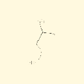 CCCC(Cl)CO[C]=O